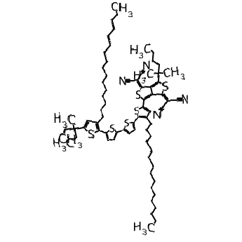 CCCCCCCCCCCCCCCCc1cc(-c2sc(=C(C#N)C#N)c3c(C(C)(C)CCCC)sc(=C(C#N)C#N)c23)sc1-c1ccc(-c2ccc(-c3sc(C(C)(CC)CC)cc3CCCCCCCCCCCCCCCC)s2)s1